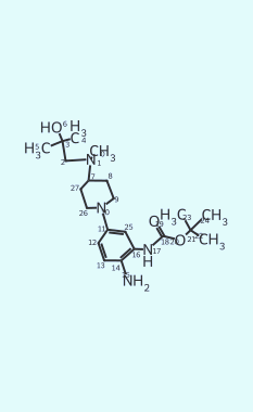 CN(CC(C)(C)O)C1CCN(c2ccc(N)c(NC(=O)OC(C)(C)C)c2)CC1